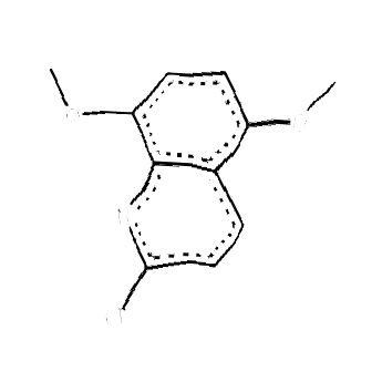 COc1ccc(OC)c2nc(Cl)ccc12